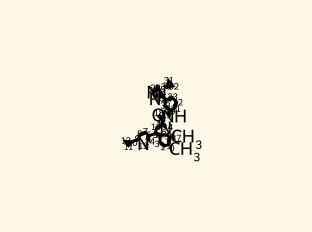 Cc1ccc2c(-c3ccc(C4CC4)nc3)cc(C(=O)Nc3cccc(-c4nncn4C4CC4)c3)nc2c1C